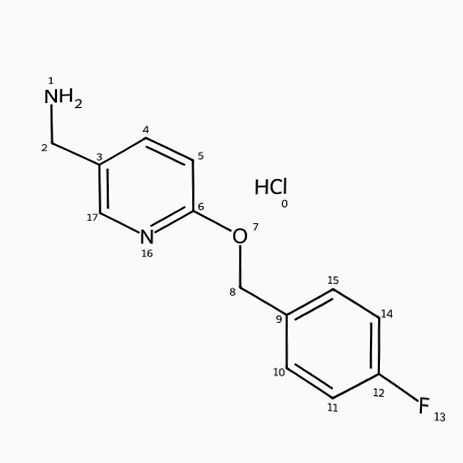 Cl.NCc1ccc(OCc2ccc(F)cc2)nc1